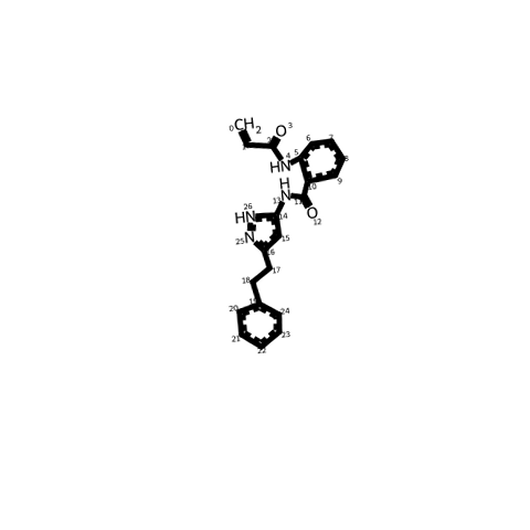 C=CC(=O)Nc1ccccc1C(=O)Nc1cc(CCc2ccccc2)n[nH]1